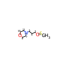 CSOCCCN1CCOCC1